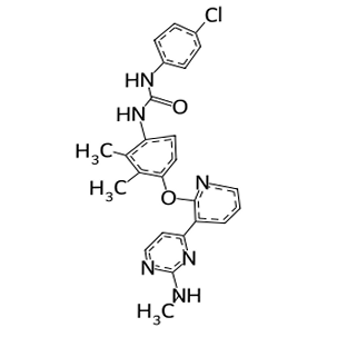 CNc1nccc(-c2cccnc2Oc2ccc(NC(=O)Nc3ccc(Cl)cc3)c(C)c2C)n1